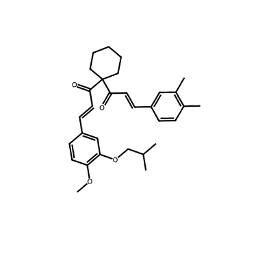 COc1ccc(/C=C/C(=O)C2(C(=O)/C=C/c3ccc(C)c(C)c3)CCCCC2)cc1OCC(C)C